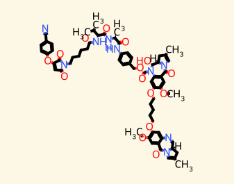 COc1cc2c(cc1OCCCCCOc1cc3c(cc1OC)C(=O)N1C=C(C)C[C@@H]1[C@@H](O)N3C(=O)OCc1ccc(NC(=O)[C@@H](C)NC(=O)[C@H](NC(=O)CCCCCN3C(=O)C=C(Oc4ccc(C#N)cc4)C3=O)C(C)C)cc1)N=C[C@H]1CC(C)=CN1C2=O